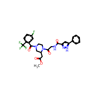 COC(=O)CC1CN(C(=O)c2cc(F)ccc2C(F)(F)F)CCN1C(=O)CNC(=O)c1cc(-c2ccccc2)[nH]n1